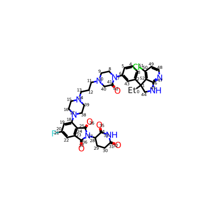 CCC1(c2cccc(N3CCN(CCCN4CCN(c5cc(F)cc6c5C(=O)N(C5CCC(=O)NC5=O)C6=O)CC4)CC3=O)c2)CNc2nccc(Cl)c21